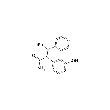 CC(C)(C)C(c1ccccc1)N(C(N)=O)c1cccc(O)c1